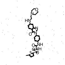 Cc1ccc(S(=O)(=O)NC(=O)Nc2ccc(-n3cnc4cc(NCCN5CCOCC5)ccc4c3=O)cc2)s1